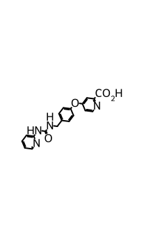 O=C(NCc1ccc(Oc2ccnc(C(=O)O)c2)cc1)Nc1ccccn1